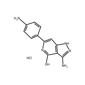 Cl.Nc1ccc(-c2cc3[nH]nc(N)c3c(O)n2)cc1